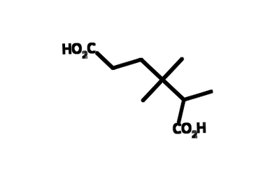 CC(C(=O)O)C(C)(C)CCC(=O)O